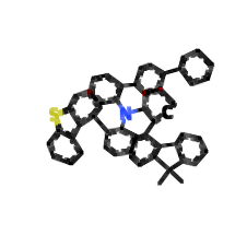 CC1(C)c2ccccc2-c2c(-c3ccccc3N(c3ccccc3-c3ccc(-c4ccccc4)cc3)c3ccccc3-c3cccc4sc5ccccc5c34)cccc21